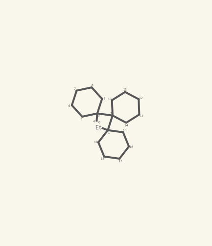 CCC1(C2(C3(C)CCCCC3)CCCCC2)CCCCC1